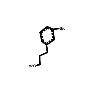 CC(=O)OCCCc1cccc(C(C)(C)C)c1